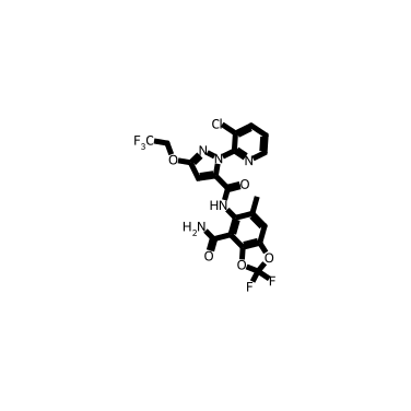 Cc1cc2c(c(C(N)=O)c1NC(=O)c1cc(OCC(F)(F)F)nn1-c1ncccc1Cl)OC(F)(F)O2